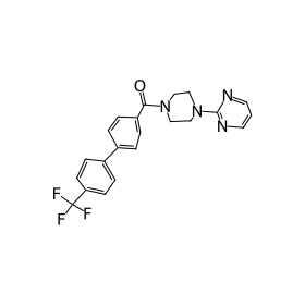 O=C(c1ccc(-c2ccc(C(F)(F)F)cc2)cc1)N1CCN(c2ncccn2)CC1